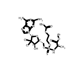 CC(C)OC(=O)[C@@H](C)NP(=S)(OCCSC(=O)C(C)(C)C)OC[C@H]1O[C@@H](n2cnc3c(N)nc(N)nc32)C(Cl)(Cl)[C@@H]1O